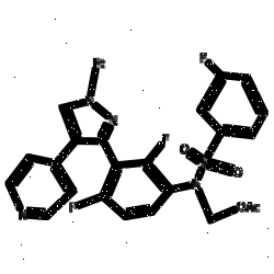 CCn1cc(-c2ccncc2)c(-c2c(F)ccc(N(COC(C)=O)S(=O)(=O)c3cccc(F)c3)c2F)n1